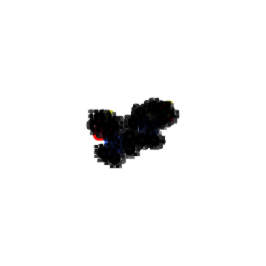 c1ccc2c(c1)Oc1cc(-c3nc(-n4c5ccccc5c5ccccc54)nc(-n4c5ccccc5c5c(-c6ccc7c8ccccc8n(-c8nc(-c9cccc%10c9Sc9ccccc9C%109c%10ccccc%10Sc%10ccccc%109)nc(-n9c%10ccccc%10c%10ccccc%109)n8)c7c6)cccc54)n3)ccc1C21c2ccccc2Sc2ccccc21